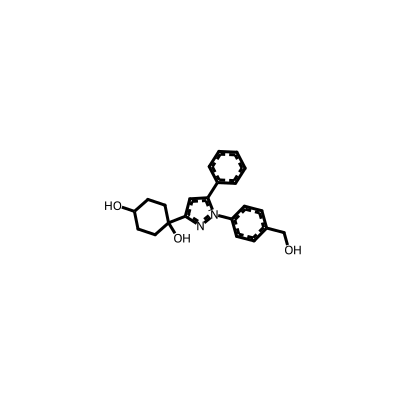 OCc1ccc(-n2nc(C3(O)CCC(O)CC3)cc2-c2ccccc2)cc1